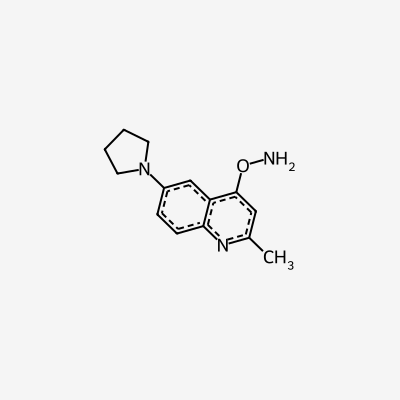 Cc1cc(ON)c2cc(N3CCCC3)ccc2n1